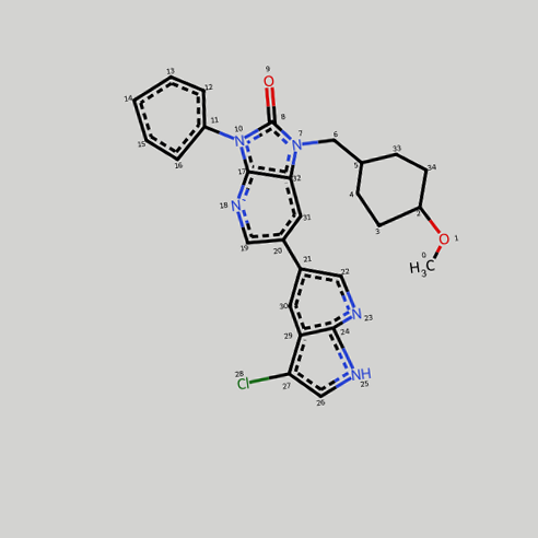 COC1CCC(Cn2c(=O)n(-c3ccccc3)c3ncc(-c4cnc5[nH]cc(Cl)c5c4)cc32)CC1